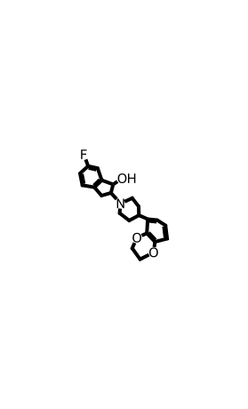 OC1c2cc(F)ccc2CC1N1CCC(c2cccc3c2OCCO3)CC1